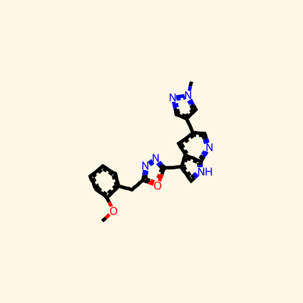 COc1ccccc1Cc1nnc(-c2c[nH]c3ncc(-c4cnn(C)c4)cc23)o1